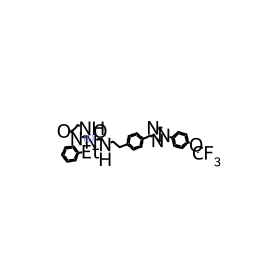 CCc1ccccc1N1C(=O)CN/C1=N\C(=O)NCCc1ccc(-c2ncn(-c3ccc(OC(F)(F)F)cc3)n2)cc1